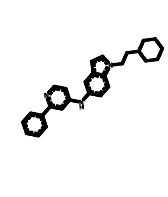 c1ccc(-c2cc(Nc3ccc4c(ccn4CCC4CCCCC4)c3)ccn2)cc1